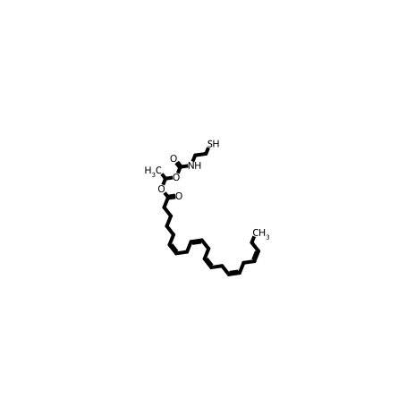 CC/C=C\C/C=C\C/C=C\C/C=C\C/C=C\CCCCC(=O)OC(C)OC(=O)NCCS